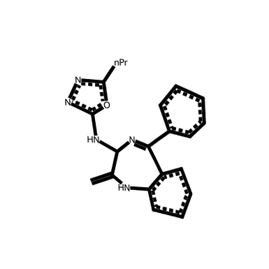 C=C1Nc2ccccc2C(c2ccccc2)=NC1Nc1nnc(CCC)o1